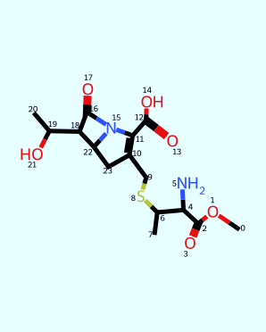 COC(=O)C(N)C(C)SCC1=C(C(=O)O)N2C(=O)C(C(C)O)C2C1